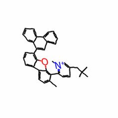 Cc1ccc2c(oc3c(-c4cc5ccccc5c5ccccc45)cccc32)c1-c1ccc(CC(C)(C)C)c[n+]1C